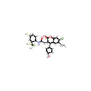 Cc1cc2c(-c3ccc(Br)cc3)c(CC(=O)Nc3ccc(F)cc3C(F)(F)F)c(=O)oc2cc1Cl